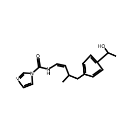 CC(/C=C\NC(=O)n1ccnc1)Cc1ccc(C(C)O)cc1